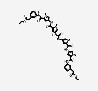 CCOC(=O)Cc1cccc(NC(=O)c2cc(NC(=O)c3cc(NC(=O)Nc4cc(C(=O)Nc5cc(C(=O)Nc6cccc(CC(=O)OCC)c6)n(C)c5)n(C)c4)cn3C)cn2C)c1